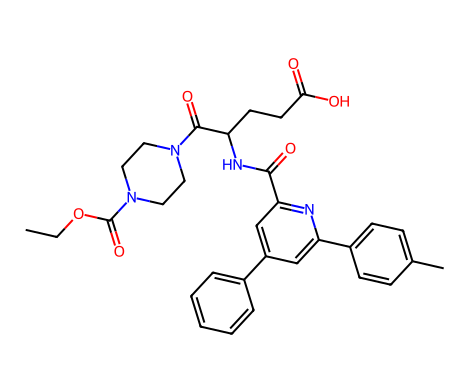 CCOC(=O)N1CCN(C(=O)C(CCC(=O)O)NC(=O)c2cc(-c3ccccc3)cc(-c3ccc(C)cc3)n2)CC1